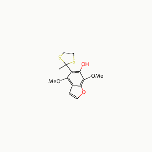 COc1c(C2(C)SCCS2)c(O)c(OC)c2occc12